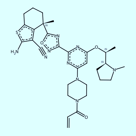 C=CC(=O)N1CCN(c2cc(O[C@@H](C)[C@@H]3CCCN3C)nc(-c3noc([C@@]4(C)CCCc5sc(N)c(C#N)c54)n3)n2)CC1